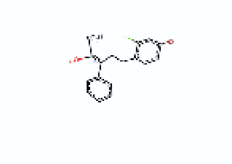 O=C(O)/C(O)=C(\CCc1ccc(Br)cc1F)c1ccccc1